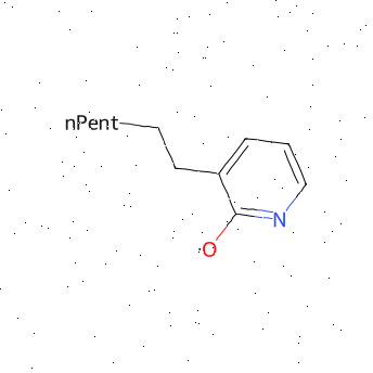 CCCCCCCc1cccnc1[O]